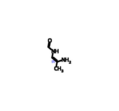 C/C(N)=C/NC=O